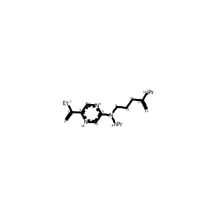 C=C(CC)c1cnc(N(CCC)CCCC(=C)C(C)C)cn1